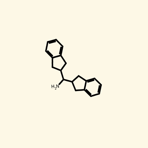 NC(C1Cc2ccccc2C1)C1Cc2ccccc2C1